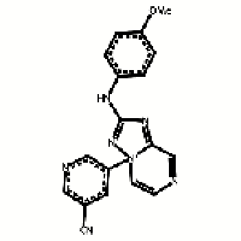 COc1ccc(NC2=N[N+]3(c4cncc(C#N)c4)C=CN=CC3=N2)cc1